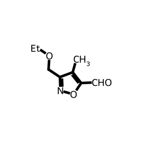 CCOCc1noc(C=O)c1C